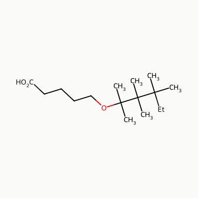 CCC(C)(C)C(C)(C)C(C)(C)OCCCCC(=O)O